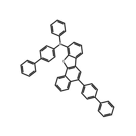 c1ccc(-c2ccc(-c3cc4c5cccc(N(c6ccccc6)c6ccc(-c7ccccc7)cc6)c5oc4c4ccccc34)cc2)cc1